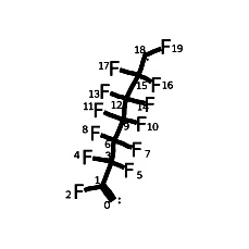 [C]=C(F)C(F)(F)C(F)(F)C(F)(F)C(F)(F)C(F)(F)[C]F